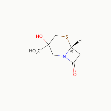 O=C1C[C@H]2SCC(O)(C(=O)O)CN12